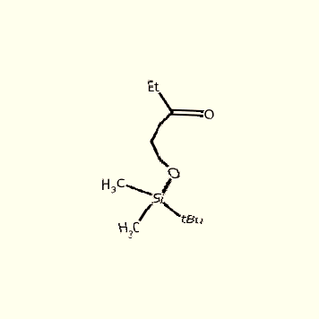 CCC(=O)CO[Si](C)(C)C(C)(C)C